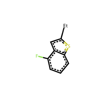 CCc1cc2c(F)cccc2s1